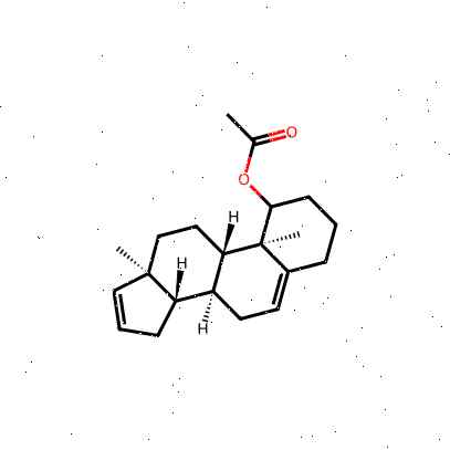 CC(=O)OC1CCCC2=CC[C@H]3[C@@H]4CC=C[C@@]4(C)CC[C@@H]3[C@]21C